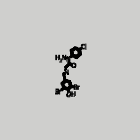 NN(C(=O)CN=Cc1cc(Br)c(O)c(Br)c1)c1ccc(Cl)cc1